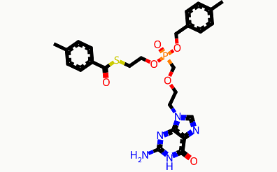 Cc1ccc(COP(=O)(COCCn2cnc3c(=O)[nH]c(N)nc32)OCCSC(=O)c2ccc(C)cc2)cc1